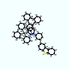 c1cc(-c2ccc3sc4ccccc4c3c2)cc(N(c2ccc3c4ccccc4c4ccccc4c3c2)c2cccc3c2C2(c4ccccc4-c4ccccc42)c2ccccc2-3)c1